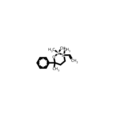 C=C[Si]1(C)CCC(C)(c2ccccc2)O[Si]1(C)C